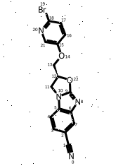 N#Cc1ccc2c(c1)nc1n2C[C@@H](COc2ccc(Br)nc2)O1